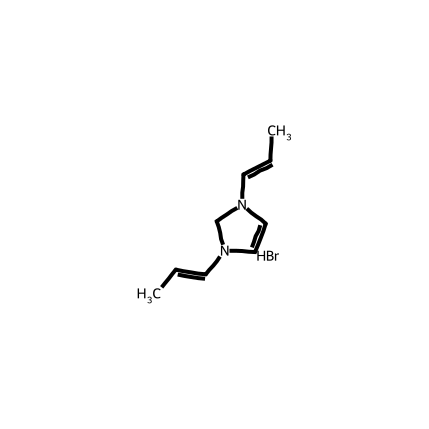 Br.CC=CN1C=CN(C=CC)C1